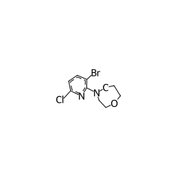 Clc1ccc(Br)c(N2CCCOCC2)n1